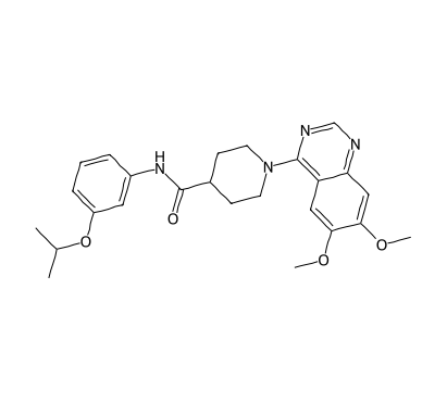 COc1cc2ncnc(N3CCC(C(=O)Nc4cccc(OC(C)C)c4)CC3)c2cc1OC